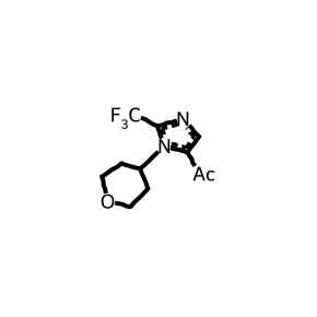 CC(=O)c1cnc(C(F)(F)F)n1C1CCOCC1